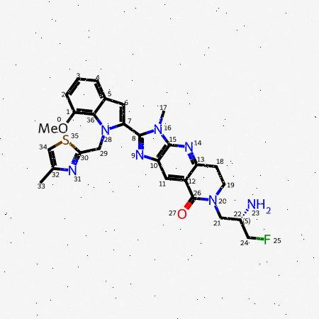 COc1cccc2cc(-c3nc4cc5c(nc4n3C)CCN(C[C@H](N)CF)C5=O)n(Cc3nc(C)cs3)c12